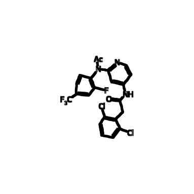 CC(=O)N(c1cc(NC(=O)Cc2c(Cl)cccc2Cl)ccn1)c1ccc(C(F)(F)F)cc1F